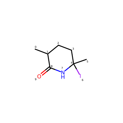 CC1CCC(C)(I)NC1=O